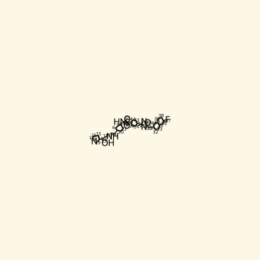 O=S(=O)(Nc1ccc(CCNCC(O)c2cccnc2)cc1)c1ccc(-c2noc(Cc3ccc4cc(F)ccc4c3)n2)cc1